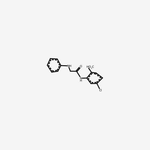 O=C(CNc1ccccc1)Nc1cc(Cl)ccc1C(=O)O